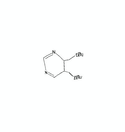 CC(C)(C)C1C=NC=NC1C(C)(C)C